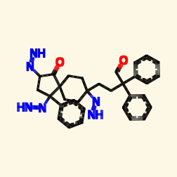 N=NC1CC(N=N)(c2ccccc2)C2(CCC(CCC(C=O)(c3ccccc3)c3ccccc3)(N=N)CC2)C1=O